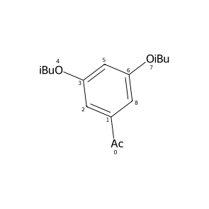 CC(=O)c1cc(OCC(C)C)cc(OCC(C)C)c1